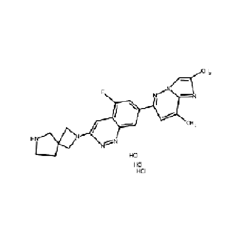 Cc1cn2nc(-c3cc(F)c4cc(N5CC6(CCNC6)C5)nnc4c3)cc(C)c2n1.Cl.Cl.Cl